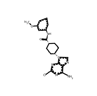 COc1cccc(NC(=O)[C@H]2CC[C@@H](n3cnc4c(N)nc(Cl)nc43)CC2)c1